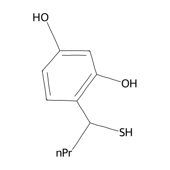 CCCC(S)c1ccc(O)cc1O